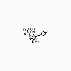 CC[C@H](C(=O)O)[C@@H](O)[C@@H](O)n1cnc2c(NC)nc(C#Cc3ccc(F)cc3)nc21